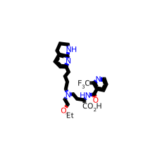 CCOCCN(CCCCc1ccc2c(n1)NCCC2)CCC(NC(=O)c1cccnc1C(F)(F)F)C(=O)O